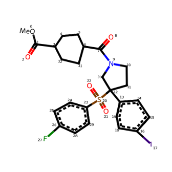 COC(=O)C1CCC(C(=O)N2CCC(c3ccc(I)cc3)(S(=O)(=O)c3ccc(F)cc3)C2)CC1